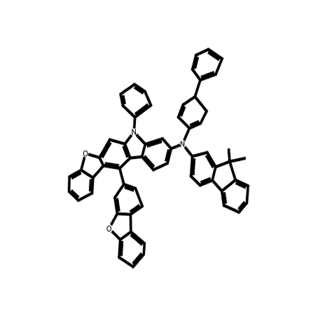 CC1(C)c2ccccc2-c2ccc(N(C3=CCC(c4ccccc4)C=C3)c3ccc4c5c(-c6ccc7c(c6)oc6ccccc67)c6c(cc5n(-c5ccccc5)c4c3)oc3ccccc36)cc21